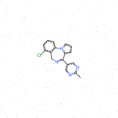 Cc1ncc(C2=NCc3c(Cl)cccc3-n3cccc32)cn1